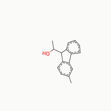 Cc1ccc2c(c1)-c1ccccc1C2C(C)O